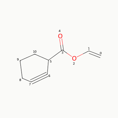 C=COC(=O)C1C#CCCC1